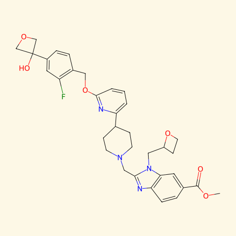 COC(=O)c1ccc2nc(CN3CCC(c4cccc(OCc5ccc(C6(O)COC6)cc5F)n4)CC3)n(CC3CCO3)c2c1